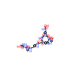 C[C@H]1NC(=O)[C@H](C)N(C(=O)CCC(=O)NCc2ccc(CCNC(=O)C3CCCN3C(=O)CNC(=O)[C@@H](N)[C@@H](C)O)cc2)c2ccc3[nH]cc(c3c2)C[C@@H](C(=O)N2CCC[C@H]2C=O)NC(=O)[C@H](Cc2cccc(CNC(=O)CO)c2)NC1=O